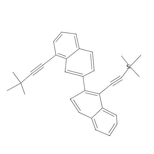 CC(C)(C)C#Cc1cccc2ccc(-c3ccc4ccccc4c3C#C[Si](C)(C)C)cc12